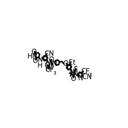 CCc1cc(N2C(=S)N(c3cnc(C#N)c(C(F)(F)F)c3)C(=O)C2(C)C)ccc1OCCC1CCN(C(OC(=O)C(F)(F)F)C(=O)Nc2cc(C#N)cc(NC3CCC(=O)NC3=O)c2)CC1